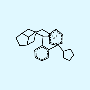 O=C(O)N(CC1C2CCC1CN(Cc1ccccc1)C2)c1ccccc1CC1CCCC1